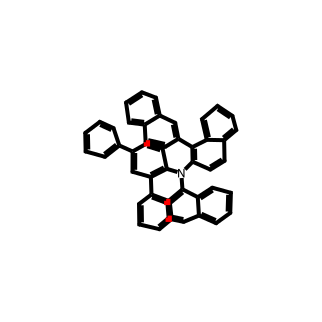 c1ccc(-c2ccc(N(c3ccc4ccccc4c3-c3ccc4ccccc4c3)c3cccc4ccccc34)c(-c3ccccc3)c2)cc1